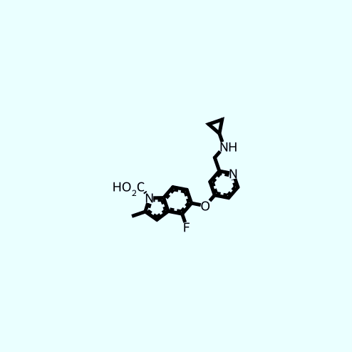 Cc1cc2c(F)c(Oc3ccnc(CNC4CC4)c3)ccc2n1C(=O)O